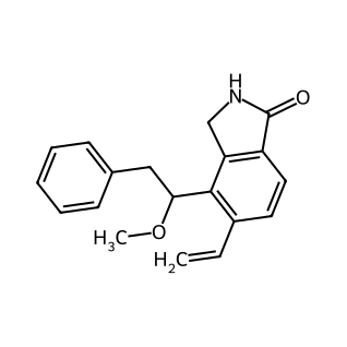 C=Cc1ccc2c(c1C(Cc1ccccc1)OC)CNC2=O